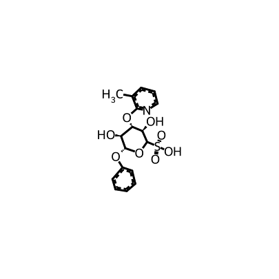 Cc1cccnc1O[C@H]1[C@H](O)[C@@H](Oc2ccccc2)OC(S(=O)(=O)O)[C@@H]1O